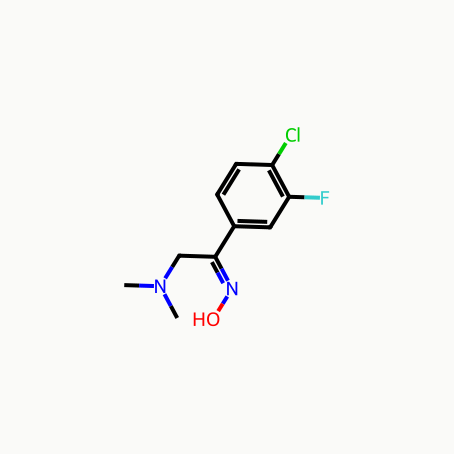 CN(C)CC(=NO)c1ccc(Cl)c(F)c1